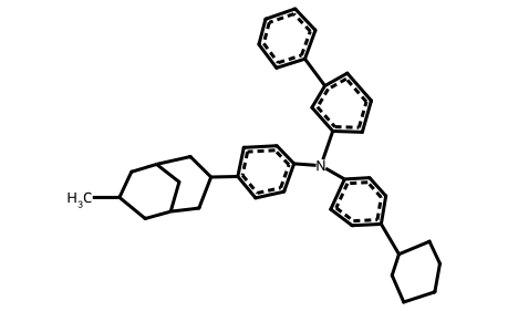 CC1CC2CC(C1)CC(c1ccc(N(c3ccc(C4CCCCC4)cc3)c3cccc(-c4ccccc4)c3)cc1)C2